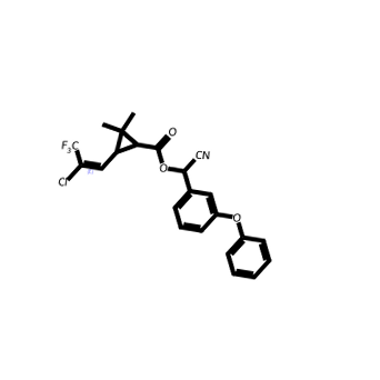 CC1(C)C(/C=C(/Cl)C(F)(F)F)C1C(=O)OC(C#N)c1cccc(Oc2ccccc2)c1